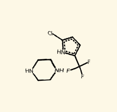 C1CNCCN1.FC(F)(F)c1ccc(Cl)[nH]1